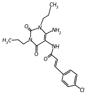 CCCn1c(N)c(NC(=O)C=Cc2ccc(Cl)cc2)c(=O)n(CCC)c1=O